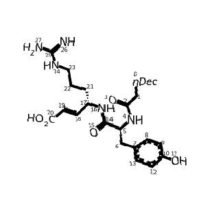 CCCCCCCCCCCC(=O)N[C@@H](Cc1ccc(O)cc1)C(=O)N[C@H](/C=C/C(=O)O)CCCNC(=N)N